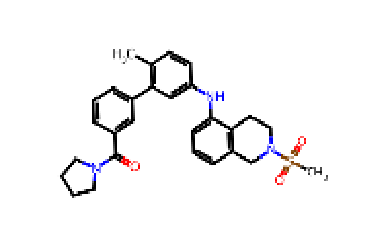 Cc1ccc(Nc2cccc3c2CCN(S(C)(=O)=O)C3)cc1-c1cccc(C(=O)N2CCCC2)c1